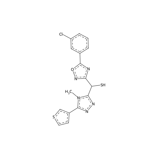 Cn1c(-c2ccsc2)nnc1C(S)c1noc(-c2cccc(Cl)c2)n1